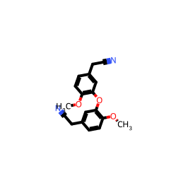 COc1ccc(CC#N)cc1Oc1cc(CC#N)ccc1OC